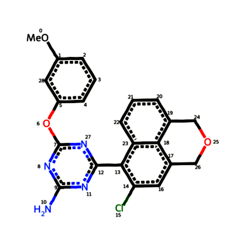 COc1cccc(Oc2nc(N)nc(-c3c(Cl)cc4c5c(cccc35)COC4)n2)c1